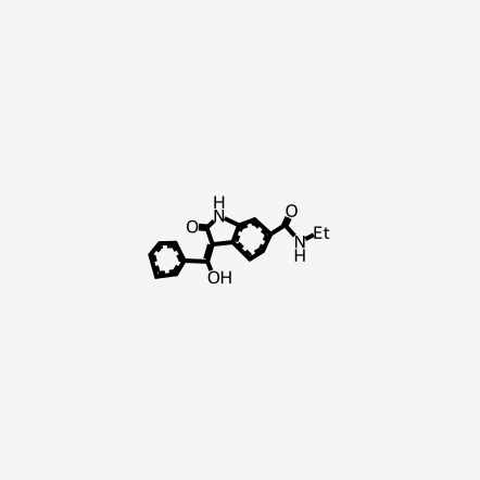 CCNC(=O)c1ccc2c(c1)NC(=O)C2=C(O)c1ccccc1